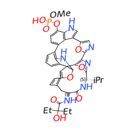 CCC(O)(CC)C(=O)N[C@H]1Cc2ccc3c(c2)C24c5cccc(c5NC2O3)-c2ccc(OP(=O)(O)OC)c3[nH]cc(c23)-c2cnc(o2)-c2nc(oc24)[C@H](C(C)C)NC1=O